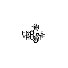 Cc1noc(C)c1-c1cc(C(O)(c2ccccn2)c2ccc(C(F)(F)F)s2)c2nc(C3CC3)[nH]c2c1